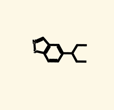 CCC(CC)c1ccc2sncc2c1